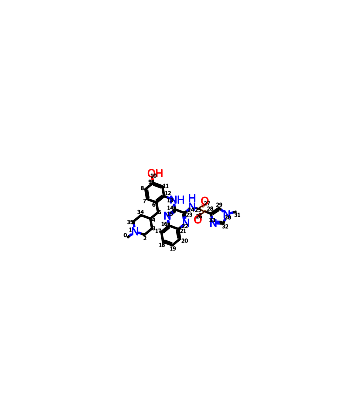 CN1CCC(Cc2ccc(O)cc2Nc2nc3ccccc3nc2NS(=O)(=O)c2cn(C)cn2)CC1